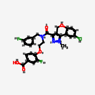 Cn1nc(C(=O)N(CCOc2ccc(C(=O)O)cc2F)Cc2cccc(F)c2)c2c1-c1cc(Cl)ccc1OC2